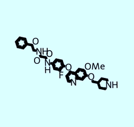 COc1cc2c(Oc3ccc(NC(=O)C(=O)NCC(=O)c4ccccc4)cc3F)ccnc2cc1OCC1CCNCC1